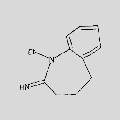 CCN1C(=N)CCCc2ccccc21